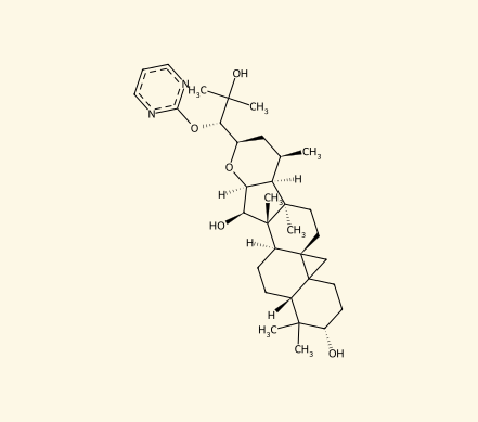 C[C@@H]1C[C@H]([C@H](Oc2ncccn2)C(C)(C)O)O[C@H]2[C@@H]1[C@@]1(C)CC[C@@]34CC35CC[C@H](O)C(C)(C)[C@@H]5CC[C@H]4[C@]1(C)[C@H]2O